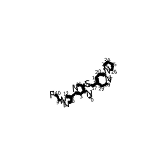 C=Nc1cc(-c2cnn(CCF)c2)ncc1SCC1=CC=C(N2CCCC2)N=CC1